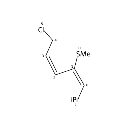 CSC(/C=C\CCl)=C/C(C)C